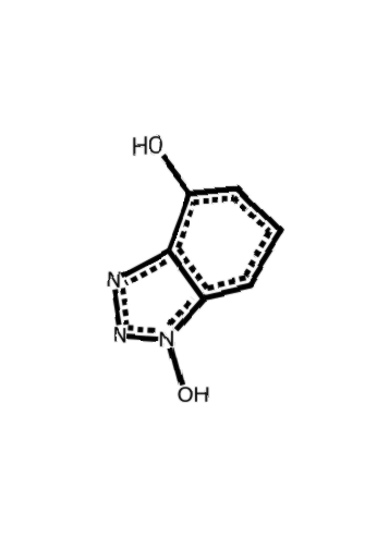 Oc1cccc2c1nnn2O